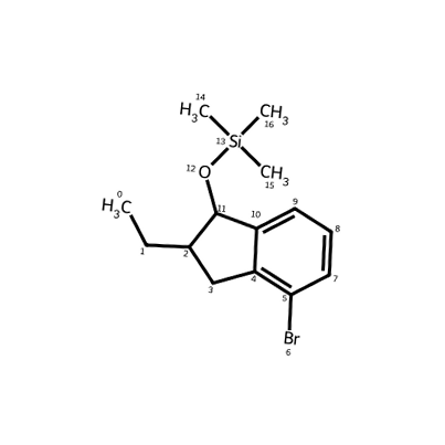 CCC1Cc2c(Br)cccc2C1O[Si](C)(C)C